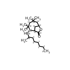 CCCCCCC(C)BN1C2CC(CC(C)(C)CC1(C)C)OC2=O